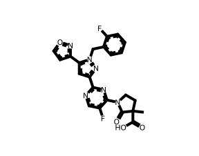 CC1(C(=O)O)CCN(c2nc(-c3cc(-c4ccon4)n(Cc4ccccc4F)n3)ncc2F)C1=O